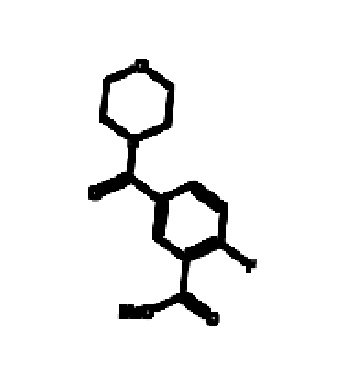 COC(=O)c1cc(C(=O)N2CCOCC2)ccc1F